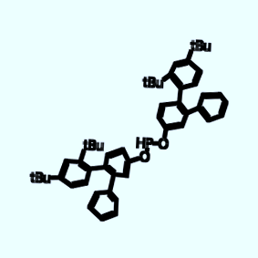 CC(C)(C)c1ccc(-c2ccc(OPOc3ccc(-c4ccc(C(C)(C)C)cc4C(C)(C)C)c(-c4ccccc4)c3)cc2-c2ccccc2)c(C(C)(C)C)c1